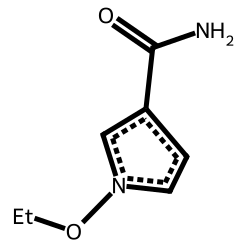 CCOn1ccc(C(N)=O)c1